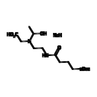 CCCCCCCCCCCCCC(=O)NCCN(CC(=O)O)C(C)O.[NaH]